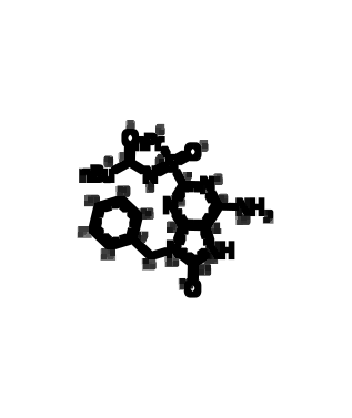 CCCCC(=O)N=S(=O)(CCC)c1nc(N)c2[nH]c(=O)n(Cc3ccccc3)c2n1